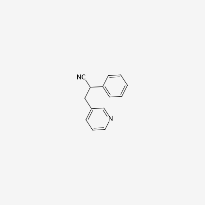 N#CC(Cc1cccnc1)c1ccccc1